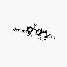 CCCCCOc1ccc(Nc2nc(CN(C)C)cs2)cc1C(F)(F)F